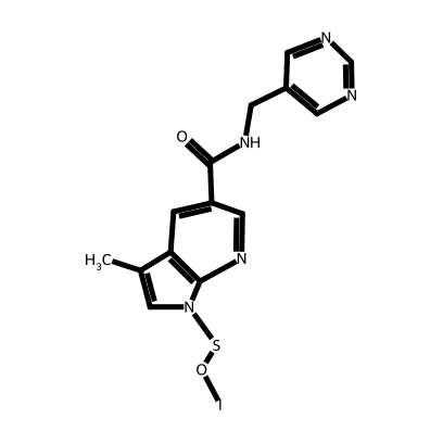 Cc1cn(SOI)c2ncc(C(=O)NCc3cncnc3)cc12